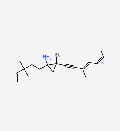 C=CC(C)(C)CCC1(N)CC1(C#C/C(C)=C/C=C\C)CC